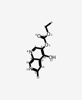 CCOC(=O)Oc1cnc2cnc(C)cc2c1O